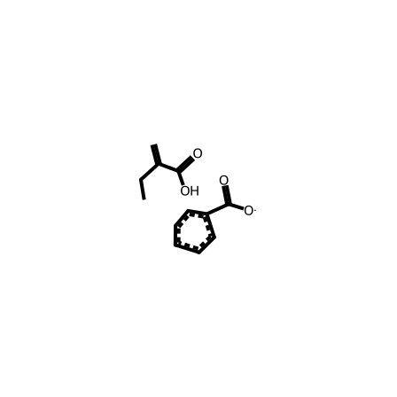 C=C(CC)C(=O)O.[O]C(=O)c1ccccc1